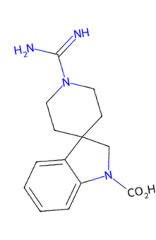 N=C(N)N1CCC2(CC1)CN(C(=O)O)c1ccccc12